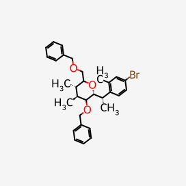 Cc1cc(Br)ccc1[C@H](C)[C@H]1OC(COCc2ccccc2)[C@@H](C)[C@H](C)C1OCc1ccccc1